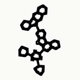 c1ccc(-c2nc(-c3ccccc3)nc(-c3cc4ccccc4c4c3oc3cc(-n5c6ccccc6c6cc7ccccc7cc65)ccc34)n2)cc1